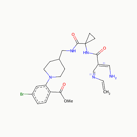 C=C/N=C\C(=C/N)C(=O)NC1(C(=O)NCC2CCN(c3cc(Br)ccc3C(=O)OC)CC2)CC1